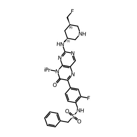 CC(C)n1c(=O)c(-c2ccc(NS(=O)(=O)Cc3ccccc3)c(F)c2)nc2cnc(N[C@@H]3CNC[C@H](CF)C3)nc21